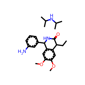 CC(C)NC(C)C.CCC1C(=O)NC(c2cccc(N)c2)c2cc(OC)c(OC)cc21